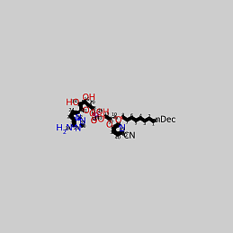 CCCCCCCCCCCCCCCCCCOC[C@@H](COP(=O)(O)OC[C@@]1(C)O[C@@H](c2ccc3c(N)ncnn23)[C@H](O)[C@@H]1O)Oc1ccc(C#N)nc1